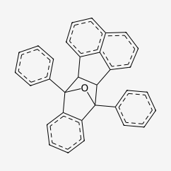 c1ccc(C23OC(c4ccccc4)(c4ccccc42)C2c4cccc5cccc(c45)C23)cc1